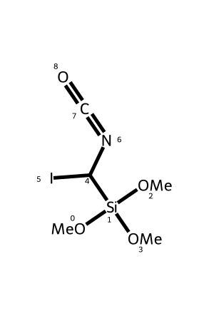 CO[Si](OC)(OC)C(I)N=C=O